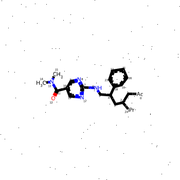 CC(=O)CC(CC(CNc1ncc(C(=O)N(C)C)cn1)c1ccccc1)C(C)C